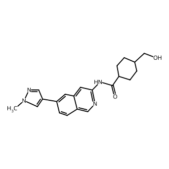 Cn1cc(-c2ccc3cnc(NC(=O)C4CCC(CO)CC4)cc3c2)cn1